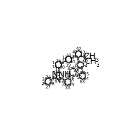 CC1(C)c2cc3c(cc2-c2c(-c4ccc(-c5cccc(C6N=C(c7ccccc7)N=C(c7ccccc7)N6)c5)cc4)cccc21)C1(CCCCC1)c1ccccc1-3